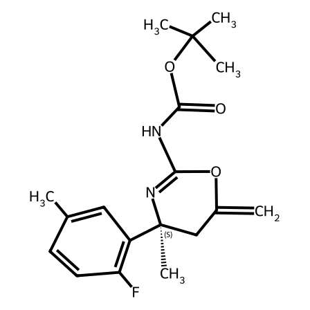 C=C1C[C@@](C)(c2cc(C)ccc2F)N=C(NC(=O)OC(C)(C)C)O1